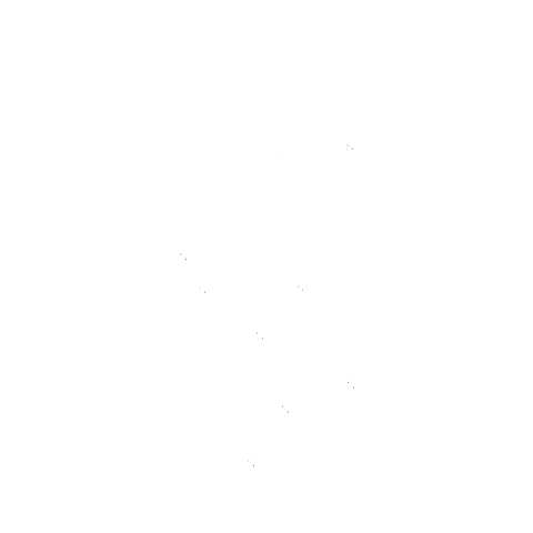 COc1cncc(-c2ccc3[nH]nc(-c4nc5c(N6CCN(C)CC6)nccc5[nH]4)c3c2)c1